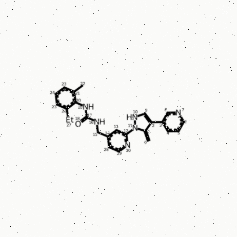 C=C1C(c2cccnc2)=CNN1c1cc(CNC(=O)Nc2c(C)cccc2CC)ccn1